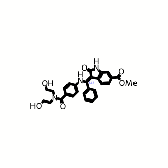 COC(=O)c1ccc2c(c1)NC(=O)/C2=C(\Nc1ccc(C(=O)N(CCO)CCO)cc1)c1ccccc1